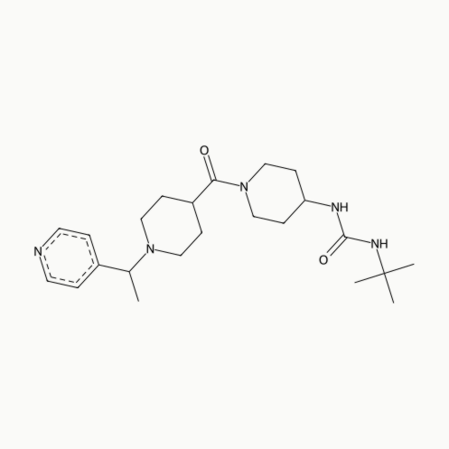 CC(c1ccncc1)N1CCC(C(=O)N2CCC(NC(=O)NC(C)(C)C)CC2)CC1